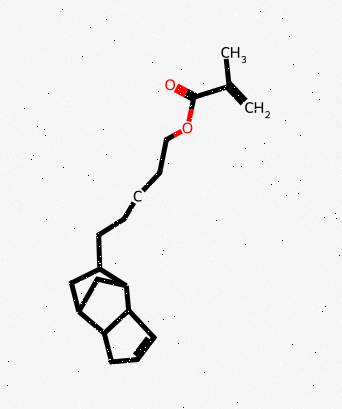 C=C(C)C(=O)OCCCCCC1CC2CC1C1C=CCC21